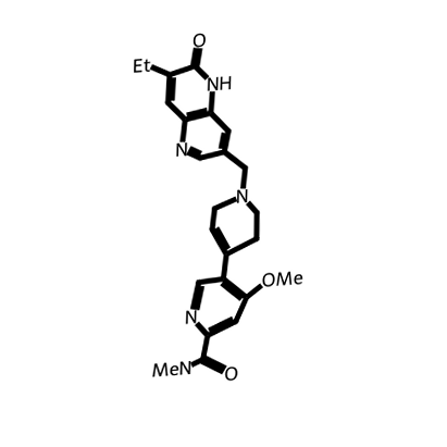 CCc1cc2ncc(CN3CC=C(c4cnc(C(=O)NC)cc4OC)CC3)cc2[nH]c1=O